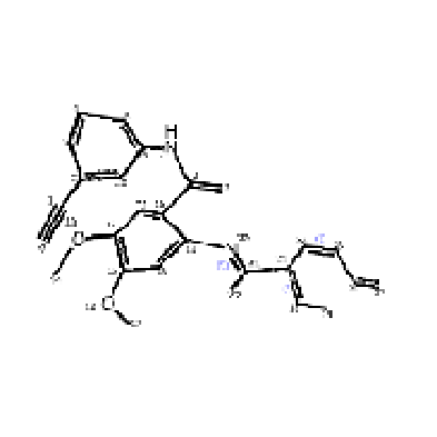 C#Cc1cccc(NC(=C)c2cc(OC)c(OC)cc2/N=C(C)/C(/C=C\C=C)=C/C)c1